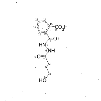 O=C(CCCO)NNC(=O)c1ccccc1C(=O)O